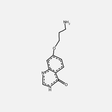 NCCCOc1ccc2c(=O)[nH]cnc2c1